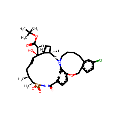 C[C@H](C(=O)OC(C)(C)C)[C@@]1(O)/C=C/C[C@H](C)[C@@H](C)S(=O)(=O)NC(=O)c2ccc3c(c2)N(CCCCc2cc(Cl)ccc2CO3)C[C@@H]2CC[C@H]21